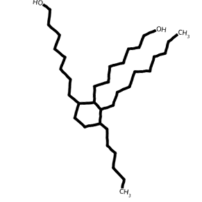 CCCCCCCCCC1C(CCCCCC)CCC(CCCCCCCCO)C1CCCCCCCO